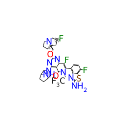 Nc1nc2c(-c3c(F)c4nc(OC[C@@]56CCCN5C[C@H](F)C6)nc(N5CC6CCC(C5)N6)c4c(=O)n3CC(F)(F)F)ccc(F)c2s1